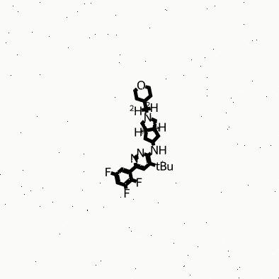 [2H]C([2H])(C1CCOCC1)N1C[C@H]2CC(Nc3nnc(-c4cc(F)cc(F)c4F)cc3C(C)(C)C)C[C@H]2C1